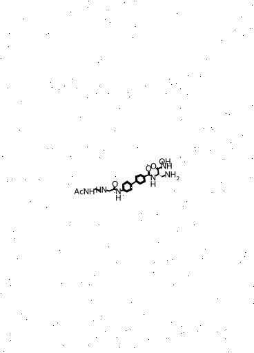 CC(=O)NCCNCC(=O)Nc1ccc(-c2ccc(C(=O)N[C@@H](CN)C(=O)NO)cc2)cc1